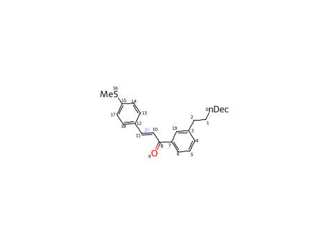 CCCCCCCCCCCCc1cccc(C(=O)/C=C/c2ccc(SC)cc2)c1